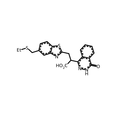 CCSCc1ccc2sc(CC(C(=O)O)c3n[nH]c(=O)c4ccccc34)nc2c1